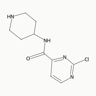 O=C(NC1CCNCC1)c1ccnc(Cl)n1